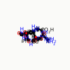 CC[C@H](C)[C@@H]1NC(=O)[C@H](CC(C)C)NC(=O)[C@@H](NC(=O)[C@@H]2CCC(=O)N2)[C@H](C(C)C)c2ccc3c4c([nH]c3c2)-n2cnc(c2)C[C@@H](C(=O)O)NC(=O)[C@H](CCCN=C(N)N)NC(=O)[C@@H]2CCCN2C(=O)[C@H](C4)NC1=O